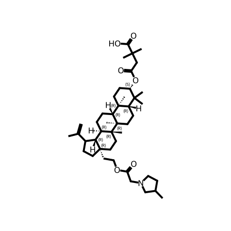 C=C(C)C1CC[C@]2(CCOC(=O)CN3CCC(C)C3)CC[C@]3(C)[C@H](CC[C@@H]4[C@@]5(C)CC[C@H](OC(=O)CC(C)(C)C(=O)O)C(C)(C)[C@@H]5CC[C@]43C)[C@@H]12